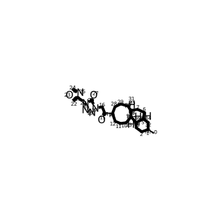 C[C@H]1CC[C@H]2[C@H](CC[C@@H]3[C@@H]2CCC[C@@H](C(=O)Cn2nnn(-c4cocn4)c2=O)CC[C@@H]3C)C1